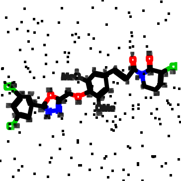 COc1cc(/C=C/C(=O)N2CCC=C(Cl)C2=O)cc(OC)c1OCc1nnc(-c2cc(Cl)cc(Cl)c2)o1